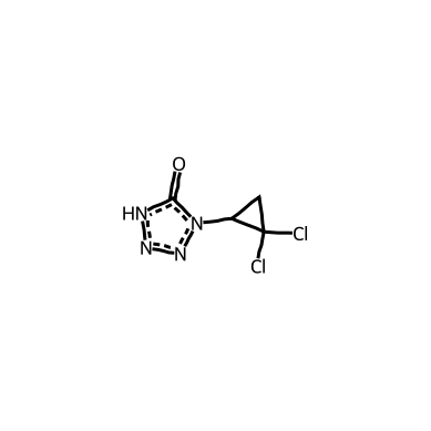 O=c1[nH]nnn1C1CC1(Cl)Cl